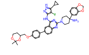 CC1(C)OCCC(COc2ccc(-c3ccc4nc(N5CCC(N)(c6ccc7c(c6)OCO7)CC5)nc(Nc5n[nH]c(C6CC6)c5F)c4c3)cc2)O1